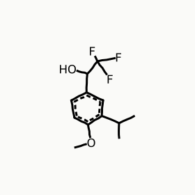 COc1ccc(C(O)C(F)(F)F)cc1C(C)C